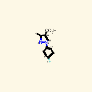 Cc1nn(-c2ccc(F)cc2)cc1C(=O)O